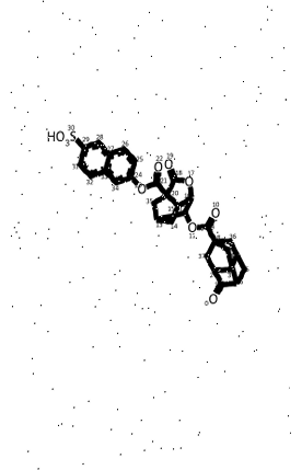 O=C1C2CC3CC1CC(C(=O)OC1C4CC5C1OC(=O)C5(C(=O)Oc1ccc5cc(S(=O)(=O)O)ccc5c1)C4)(C3)C2